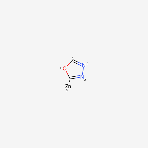 [Zn].c1nnco1